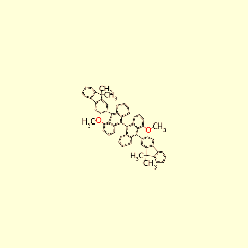 COc1cccc2c(-c3c4ccccc4c(-c4ccc5c(c4)C(C)(C)c4ccccc4-5)c4c(OC)cccc34)c3ccccc3c(-c3ccc4c(c3)C(C)(C)c3ccccc3-4)c12